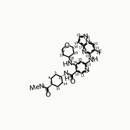 CNC(=O)[C@H]1CC[C@H](NC(=O)c2cnc(Nc3nc4ccnn4cc3F)cc2NC2CCOCC2)CC1